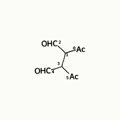 CC(=O)C(C=O)C(C=O)C(C)=O